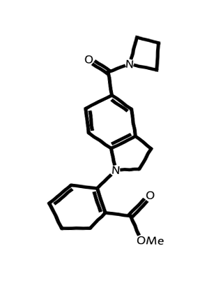 COC(=O)C1=C(N2CCc3cc(C(=O)N4CCC4)ccc32)C=CCC1